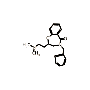 CN(C)CCC1CN(Cc2ccccc2)C(=O)c2ccccc2O1